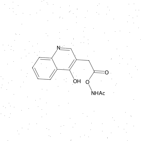 CC(=O)NOC(=O)Cc1cnc2ccccc2c1O